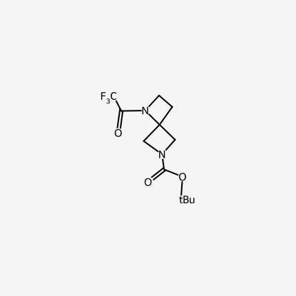 CC(C)(C)OC(=O)N1CC2(CCN2C(=O)C(F)(F)F)C1